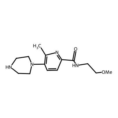 COCCNC(=O)c1ccc(N2CCNCC2)c(C)n1